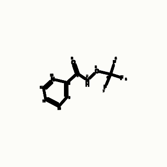 O=C(NOC(F)(F)F)c1ccccn1